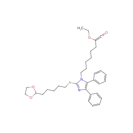 CCOC(=C=O)CCCCCCn1c(SCCCCCC2OCCO2)nc(-c2ccccc2)c1-c1ccccc1